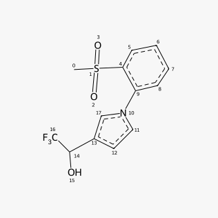 CS(=O)(=O)c1ccccc1-n1ccc(C(O)C(F)(F)F)c1